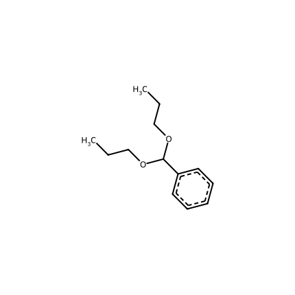 CCCOC(OCCC)c1ccccc1